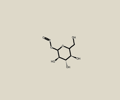 O=POC1OC(CO)[C@@H](O)[C@H](O)[C@H]1O